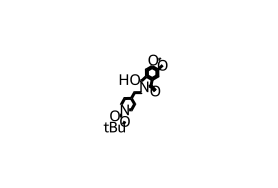 CC(C)(C)OC(=O)N1CCC(CCN2C(=O)c3cc4c(cc3C2O)OCO4)CC1